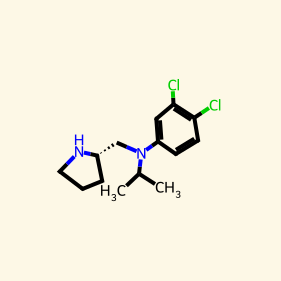 CC(C)N(C[C@@H]1CCCN1)c1ccc(Cl)c(Cl)c1